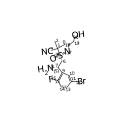 CC(C)(C#N)[S@@](=O)(C[C@@H](N)c1cc(Br)ccc1F)=NCCO